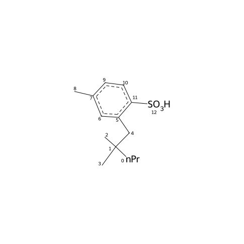 CCCC(C)(C)Cc1cc(C)ccc1S(=O)(=O)O